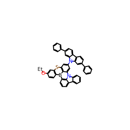 CCOc1ccc2c(c1)Sc1cc(-n3c4cc(-c5ccccc5)ccc4c4ccc(-c5ccccc5)cc43)cc3c1B2c1cccc2c4ccccc4n-3c12